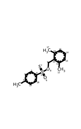 Cc1ccc(S(=O)(=S)OCc2c(C)cccc2C)cc1